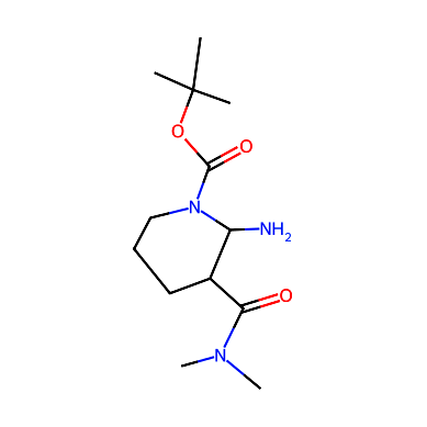 CN(C)C(=O)C1CCCN(C(=O)OC(C)(C)C)C1N